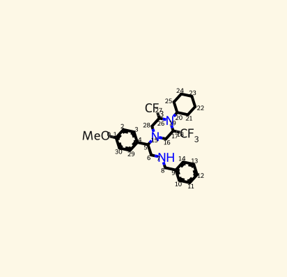 COc1ccc(C(CNCc2ccccc2)N2CC(C(F)(F)F)N(C3CCCCC3)C(C(F)(F)F)C2)cc1